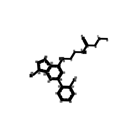 CSCC(=O)NCCNc1cc(-c2ccccc2Cl)nc2c(Br)cnn12